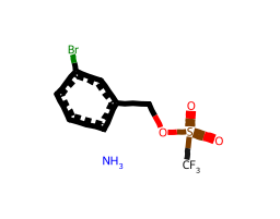 N.O=S(=O)(OCc1cccc(Br)c1)C(F)(F)F